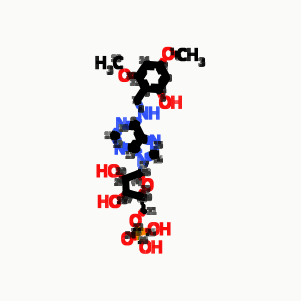 COc1cc(O)c(CNc2ncnc3c2ncn3[C@@H]2O[C@H](COP(=O)(O)O)[C@@H](O)[C@H]2O)c(OC)c1